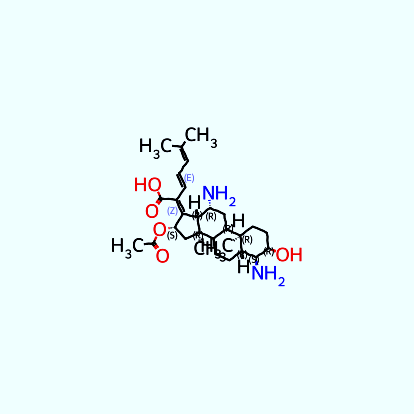 CC(=O)O[C@H]1C[C@]2(C)C3CC[C@H]4[C@H](N)[C@H](O)CC[C@]4(C)[C@@H]3C[C@@H](N)[C@H]2/C1=C(\C=C\C=C(C)C)C(=O)O